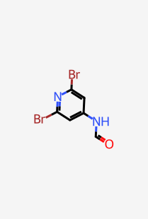 O=CNc1cc(Br)nc(Br)c1